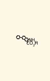 Nc1cc2ccc(-c3ccccc3)cc2cc1C(=O)O